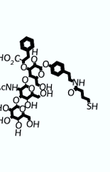 CC(=O)NC1C(O[C@@H]2OC(CO)[C@H](O)C(O)C2O)[C@@H](O)C(CO)O[C@H]1O[C@H]1C(CO)O[C@@H](Oc2ccc(CCNC(=O)CCCS)cc2)C(O)C1O[C@@H](Cc1ccccc1)C(=O)O